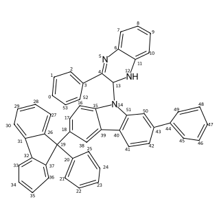 c1ccc(C2=Nc3ccccc3NC2n2c3ccc(C4(c5ccccc5)c5ccccc5-c5ccccc54)cc3c3ccc(-c4ccccc4)cc32)cc1